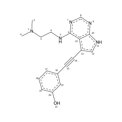 CN(C)CCNc1ncnc2[nH]cc(C#Cc3cccc(O)c3)c12